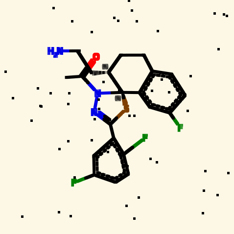 CC(=O)N1N=C(c2cc(F)ccc2F)S[C@@]12c1cc(F)ccc1CC[C@H]2CCN